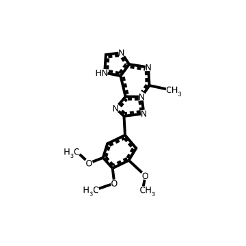 COc1cc(-c2nc3c4[nH]cnc4nc(C)n3n2)cc(OC)c1OC